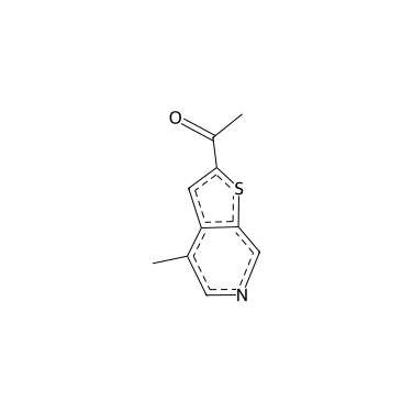 CC(=O)c1cc2c(C)cncc2s1